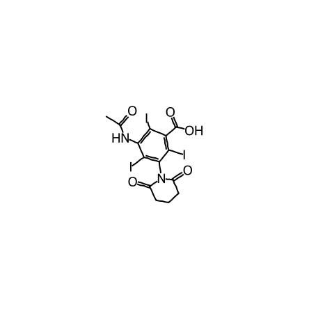 CC(=O)Nc1c(I)c(C(=O)O)c(I)c(N2C(=O)CCCC2=O)c1I